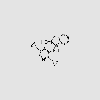 O[C@H]1Cc2ccccc2[C@H]1Nc1nc(C2CC2)cnc1C1CC1